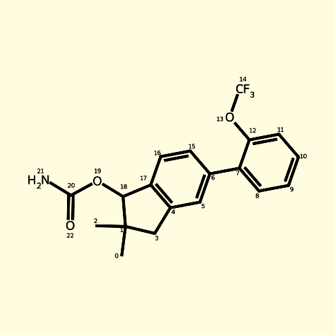 CC1(C)Cc2cc(-c3ccccc3OC(F)(F)F)ccc2C1OC(N)=O